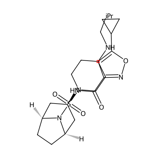 CC(C)CNC1CCN(S(=O)(=O)N2[C@@H]3CC[C@H]2C[C@@H](NC(=O)c2cc(C4CC4)on2)C3)CC1